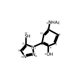 CC(=O)Nc1ccc(O)c(-n2nncc2S)c1